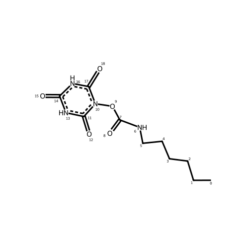 CCCCCCNC(=O)On1c(=O)[nH]c(=O)[nH]c1=O